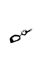 BrC1=NO[C@H](c2ccccc2)C1